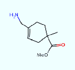 COC(=O)C1(C)CC=C(CN)CC1